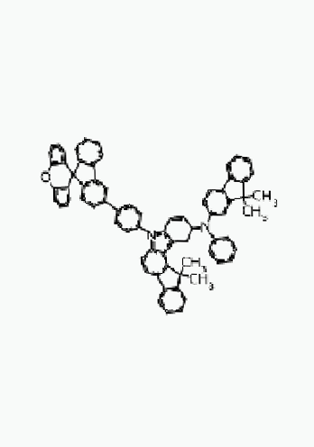 CC1(C)c2ccccc2-c2ccc(N(c3ccccc3)C3C=Cc4c(c5c6c(ccc5n4-c4ccc(-c5ccc7c(c5)-c5ccccc5C75c7ccccc7Oc7ccccc75)cc4)-c4ccccc4C6(C)C)C3)cc21